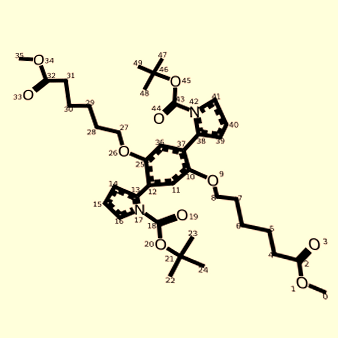 COC(=O)CCCCCOc1cc(-c2cccn2C(=O)OC(C)(C)C)c(OCCCCCC(=O)OC)cc1-c1cccn1C(=O)OC(C)(C)C